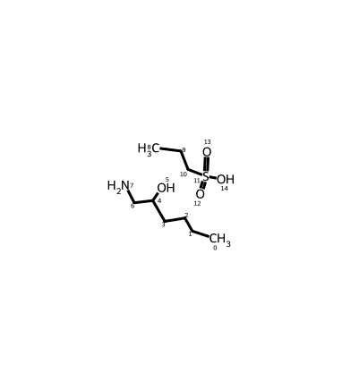 CCCCC(O)CN.CCCS(=O)(=O)O